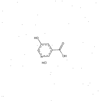 Cl.O=C(O)c1cncc(O)c1